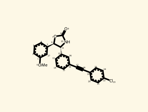 COc1cccc([C@H]2OC(=O)N[C@@H]2c2cccc(C#Cc3ccc(Cl)cc3)c2)c1